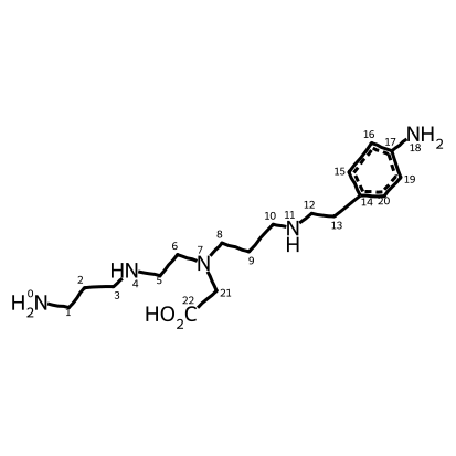 NCCCNCCN(CCCNCCc1ccc(N)cc1)CC(=O)O